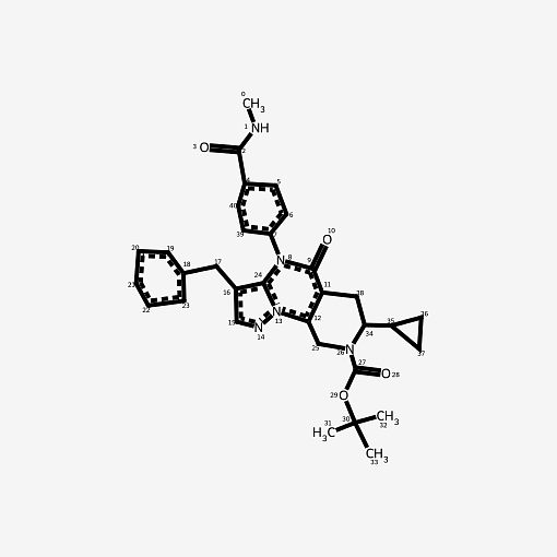 CNC(=O)c1ccc(-n2c(=O)c3c(n4ncc(Cc5ccccc5)c24)CN(C(=O)OC(C)(C)C)C(C2CC2)C3)cc1